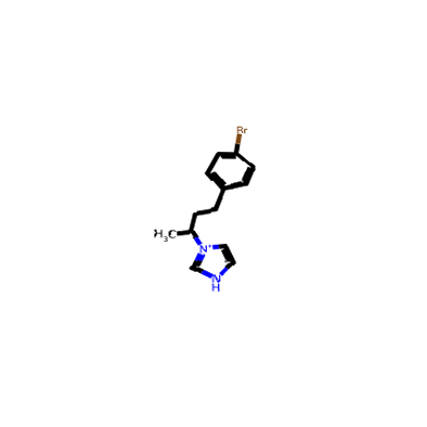 CC(CCc1ccc(Br)cc1)[n+]1cc[nH]c1